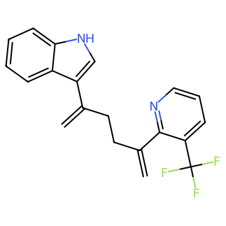 C=C(CCC(=C)c1c[nH]c2ccccc12)c1ncccc1C(F)(F)F